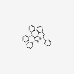 c1ccc(-c2nn3c(-c4ccccc4)cc4ccccc4c3c2N(c2ccccc2)c2ccccc2)cc1